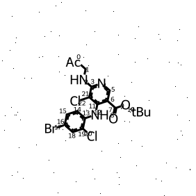 CC(=O)CNc1ncc(C(=O)OC(C)(C)C)c(Nc2ccc(Br)cc2Cl)c1Cl